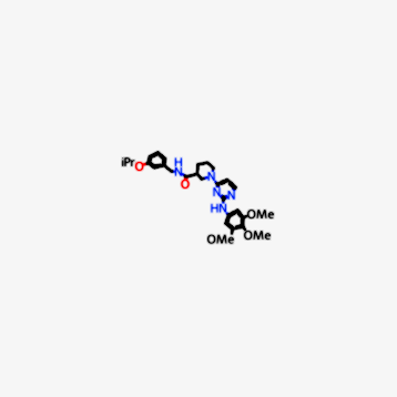 COc1cc(Nc2nccc(N3CCCC(C(=O)NCc4cccc(OC(C)C)c4)C3)n2)cc(OC)c1OC